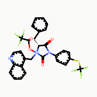 O=C1[C@@H](Cc2ccccc2)[N+](Cc2ccnc3ccccc23)(OC(=O)C(F)(F)F)C(=O)N1c1ccc(SC(F)(F)F)cc1